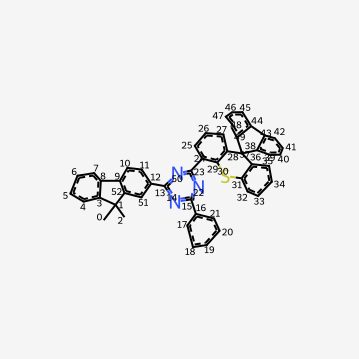 CC1(C)c2ccccc2-c2ccc(-c3nc(-c4ccccc4)nc(-c4cccc5c4Sc4ccccc4C54c5ccccc5-c5ccccc54)n3)cc21